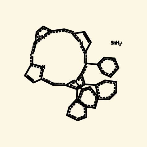 C1=Cc2cc3c(-c4ccccc4)c(-c4ccccc4)c(c(-c4ccccc4)c4nc(cc5ccc(cc1n2)[nH]5)C=C4)n3-c1ccccc1.[SnH2]